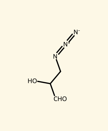 [N-]=[N+]=NCC(O)C=O